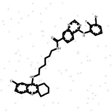 O=C(NCCCCCCNc1c2c(nc3ccc(Cl)cc13)CCCC2)c1ccc2c(Nc3cccc(Br)c3F)ncnc2c1